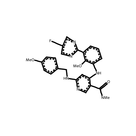 CNC(=O)c1cnc(NCc2ccc(OC)cc2)cc1Nc1cccc(-c2ncc(F)cn2)c1OC